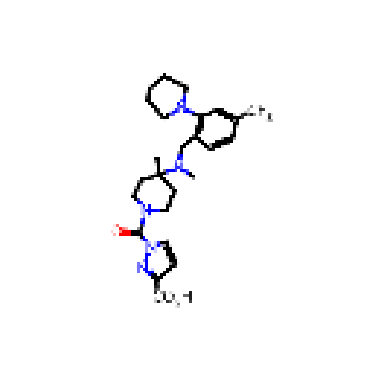 CN(Cc1ccc(C(F)(F)F)cc1N1CCCCC1)C1(C)CCN(C(=O)n2ccc(C(=O)O)n2)CC1